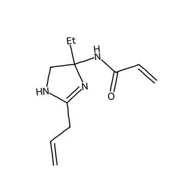 C=CCC1=NC(CC)(NC(=O)C=C)CN1